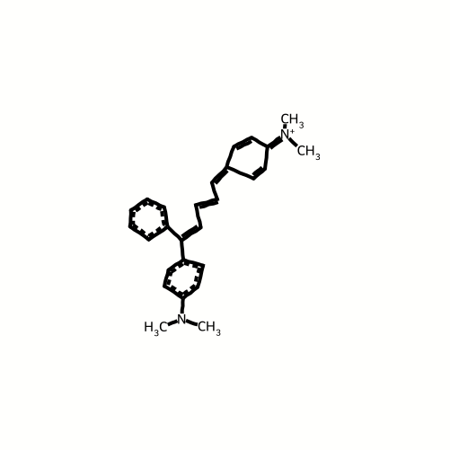 CN(C)c1ccc(/C(=C/C=C/C=C2C=CC(=[N+](C)C)C=C2)c2ccccc2)cc1